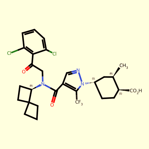 C[C@@H]1C[C@@H](n2ncc(C(=O)N(CC(=O)c3c(Cl)cccc3Cl)[C@@H]3CCC34CCC4)c2C(F)(F)F)CC[C@@H]1C(=O)O